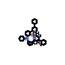 CP1c2c(-c3cc(-c4ccccc4)ccn3)cccc2N(c2ccccc2)c2cccc(c2I)C2(C)C=C(c3ccccc3)C=CN12